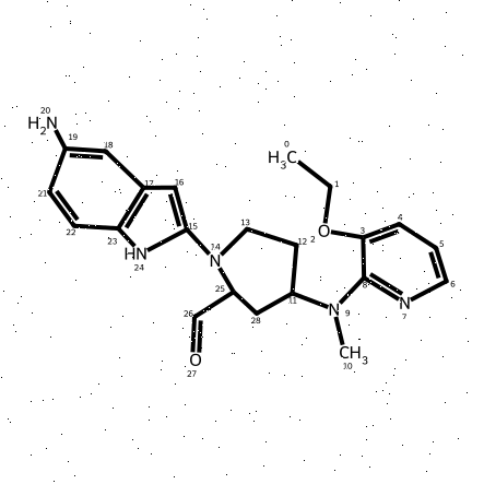 CCOc1cccnc1N(C)C1CCN(c2cc3cc(N)ccc3[nH]2)C(C=O)C1